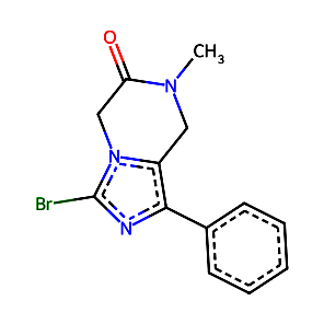 CN1Cc2c(-c3ccccc3)nc(Br)n2CC1=O